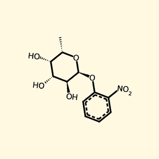 C[C@@H]1O[C@@H](Oc2ccccc2[N+](=O)[O-])[C@@H](O)[C@H](O)[C@@H]1O